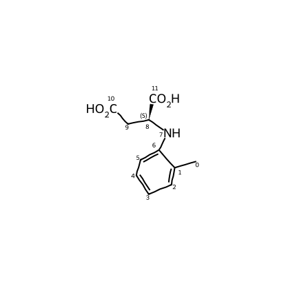 Cc1ccccc1N[C@@H](CC(=O)O)C(=O)O